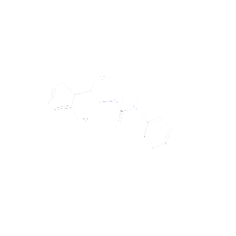 COc1ccccc1C(CNC(=O)Nc1ccc(C(F)(F)F)cc1)OC